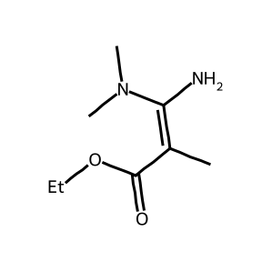 CCOC(=O)C(C)=C(N)N(C)C